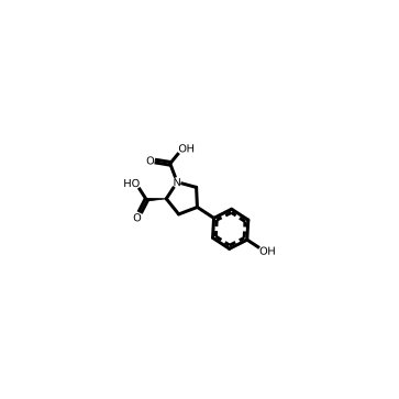 O=C(O)[C@@H]1CC(c2ccc(O)cc2)CN1C(=O)O